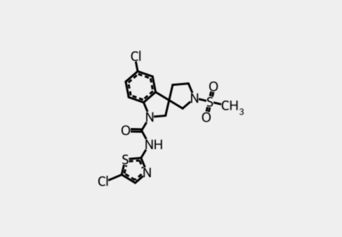 CS(=O)(=O)N1CCC2(CN(C(=O)Nc3ncc(Cl)s3)c3ccc(Cl)cc32)C1